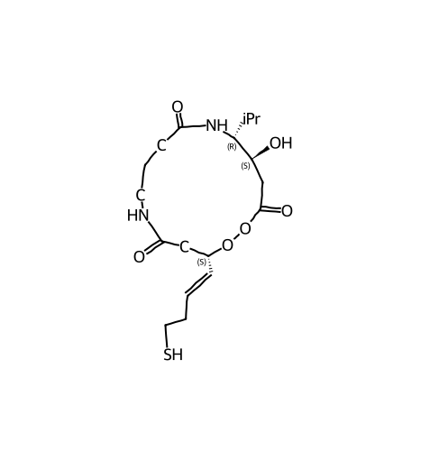 CC(C)[C@H]1NC(=O)CCCNC(=O)C[C@@H](C=CCCS)OOC(=O)C[C@@H]1O